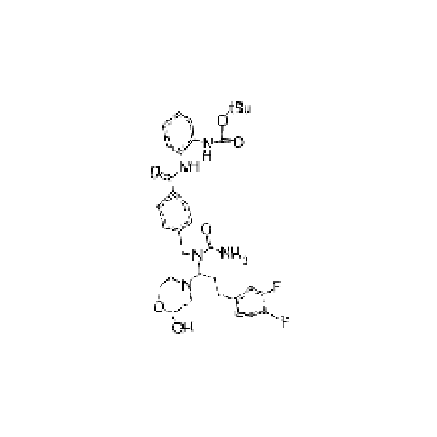 CC(C)(C)OC(=O)Nc1ccccc1NC(=O)c1ccc(CN(C(N)=O)C(CCc2ccc(F)c(F)c2)N2CCOC(O)C2)cc1